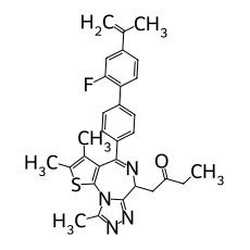 C=C(C)c1ccc(-c2ccc(C3=NC(CC(=O)CC)c4nnc(C)n4-c4sc(C)c(C)c43)cc2)c(F)c1